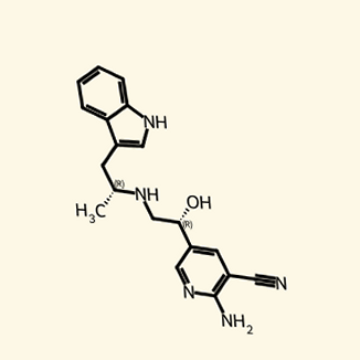 C[C@H](Cc1c[nH]c2ccccc12)NC[C@H](O)c1cnc(N)c(C#N)c1